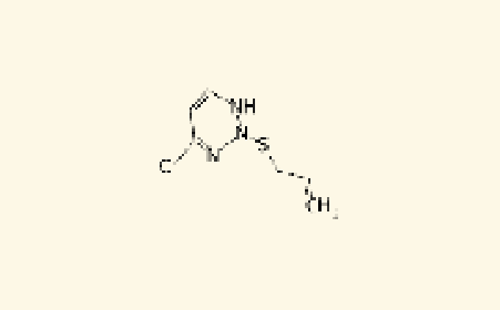 C=CCSN1N=C(Cl)C=CN1